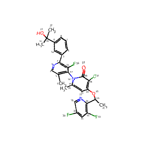 Cc1cnc(-c2cccc(C(C)(C)O)c2)c(F)c1-n1c(C)cc(OC(C)c2ncc(F)cc2F)c(Cl)c1=O